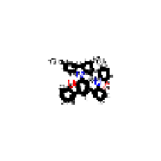 CC(C)(C)c1ccc2c(c1)c1cc(C(C)(C)C)cc3c1n2-c1c2c(cc4c1oc1ccccc14)-c1cccc4c1N(B23)c1ccccc1O4